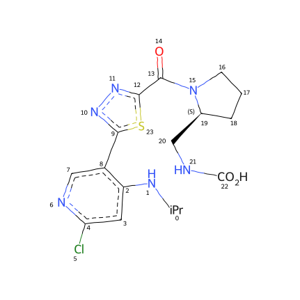 CC(C)Nc1cc(Cl)ncc1-c1nnc(C(=O)N2CCC[C@H]2CNC(=O)O)s1